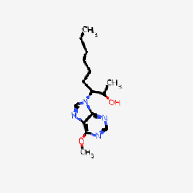 CCCCCCC(C(C)O)n1cnc2c(OC)ncnc21